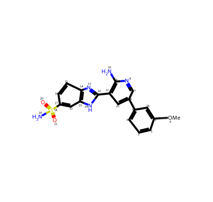 COc1cccc(-c2cnc(N)c(-c3nc4ccc(S(N)(=O)=O)cc4[nH]3)c2)c1